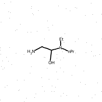 CCCN(CC)C(O)CN